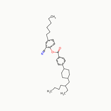 CCCCCCc1ccc(OC(=O)c2ccc(C3CCC(CC(CC)CCCC)CC3)cc2)c(C#N)c1